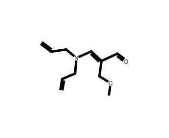 C=CCN(/C=C(/C=O)COC)CC=C